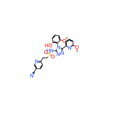 COC1=NC(c2nnc(NS(=O)(=O)CCc3ccc(C#N)cn3)n2-c2c(O)cccc2OC)=C=C=C1